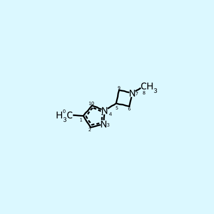 Cc1cnn(C2CN(C)C2)c1